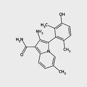 Cc1ccc2c(C(N)=O)c(N)c(-c3c(C)ccc(O)c3C)n2c1